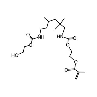 C=C(C)C(=O)OCCOC(=O)NCC(C)(C)CC(C)CCNC(=O)OCCO